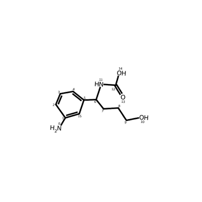 Nc1cccc(C(CCCO)NC(=O)O)c1